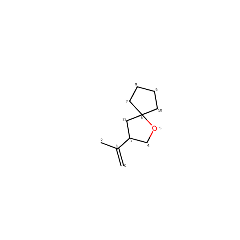 C=C(C)C1COC2(CCCC2)C1